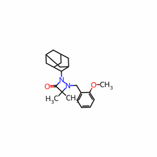 COc1ccccc1CN1N(C2C3CC4CC(C3)CC2C4)C(=O)C1(C)C